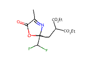 CCOC(=O)C(CC1(C(F)F)N=C(C)C(=O)O1)C(=O)OCC